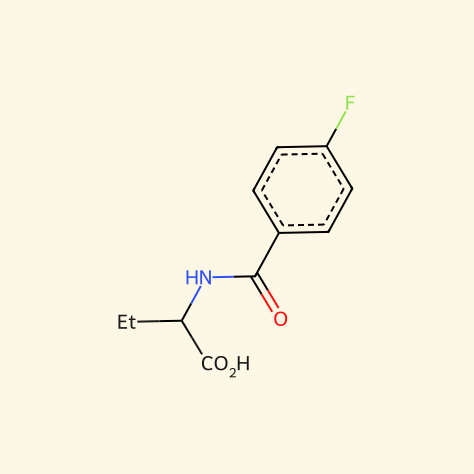 CCC(NC(=O)c1ccc(F)cc1)C(=O)O